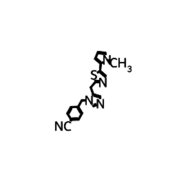 Cn1cccc1-c1cnc(Cc2cncn2Cc2ccc(C#N)cc2)s1